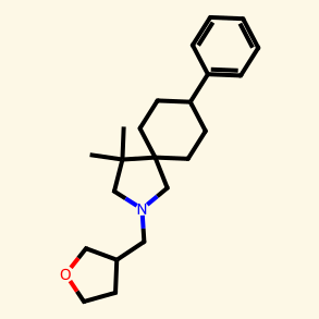 CC1(C)CN(CC2CCOC2)CC12CC[C](c1ccccc1)CC2